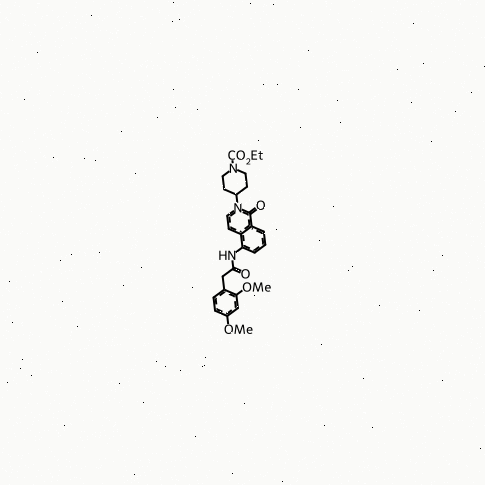 CCOC(=O)N1CCC(n2ccc3c(NC(=O)Cc4ccc(OC)cc4OC)cccc3c2=O)CC1